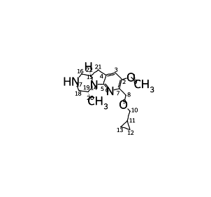 COc1cc2c(nc1COCC1CC1)N1[C@@H](CNC[C@H]1C)C2